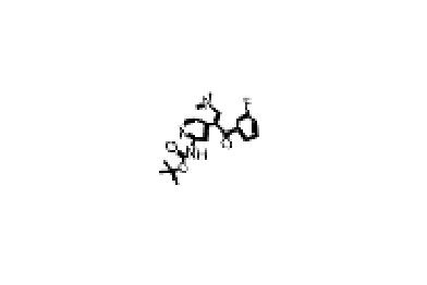 CN(C)C=C(C(=O)c1cccc(F)c1)c1ccnc(NC(=O)OC(C)(C)C)c1